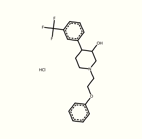 Cl.OC1CN(CCOc2ccccc2)CCC1c1cccc(C(F)(F)F)c1